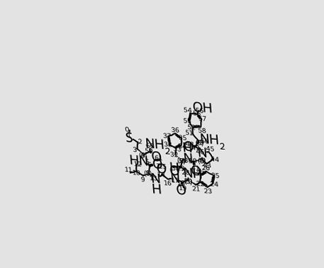 CSCC[C@H](NC(=O)[C@H](CC(C)C)NC(=O)CNC(=O)[C@H](Cc1ccccc1)NC(=O)[C@H](Cc1ccccc1)NC(=O)[C@@H]1CCCN1C(=O)[C@@H](N)Cc1ccc(O)cc1)C(N)=O